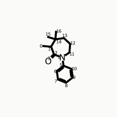 CC1C(=O)N(c2ccccc2)CCCC1(C)C